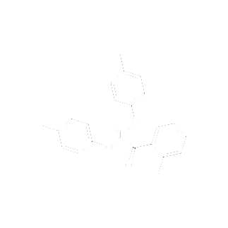 Cc1ccc(OP(=O)(Oc2ccc(C)cc2)C(=O)c2ccccc2C)cc1